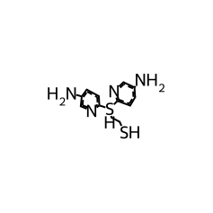 Nc1ccc([SH](CCS)c2ccc(N)cn2)nc1